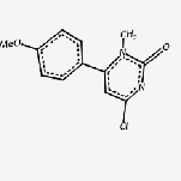 COc1ccc(-c2cc(Cl)nc(=O)n2C)cc1